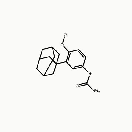 CCOc1ccc([N]C(N)=O)cc1C12CC3CC(CC(C3)C1)C2